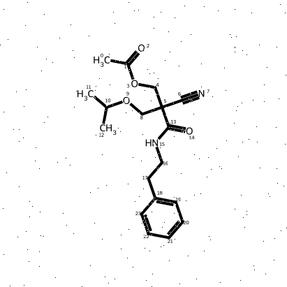 CC(=O)OCC(C#N)(COC(C)C)C(=O)NCCc1ccccc1